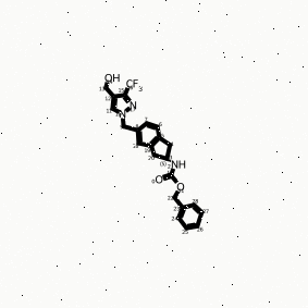 O=C(N[C@H]1Cc2ccc(Cn3cc(CO)c(C(F)(F)F)n3)cc2C1)OCc1ccccc1